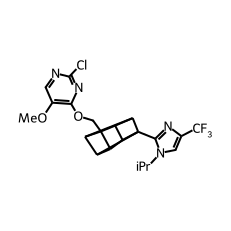 COc1cnc(Cl)nc1OCC12C3C4C1C1C2C3C41c1nc(C(F)(F)F)cn1C(C)C